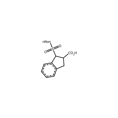 CCCCCCCCCS(=O)(=O)C1c2ccccc2CC1C(=O)O